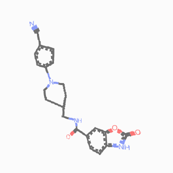 N#Cc1ccc(N2CCC(CNC(=O)c3ccc4[nH]c(=O)oc4c3)CC2)cc1